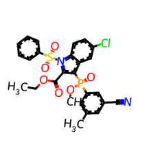 CCOC(=O)c1c(P(=O)(OC)c2cc(C)cc(C#N)c2)c2cc(Cl)ccc2n1S(=O)(=O)c1ccccc1